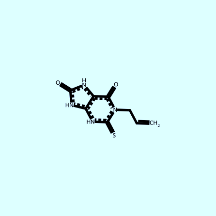 C=CCn1c(=S)[nH]c2[nH]c(=O)[nH]c2c1=O